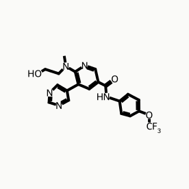 CN(CCO)c1ncc(C(=O)Nc2ccc(OC(F)(F)F)cc2)cc1-c1cncnc1